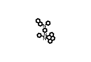 c1ccc(-c2nc3c4cccc5ccc6cccc(c6c54)c3n2-c2ccc(N(c3ccccc3)c3ccc4ccccc4c3)cc2)cc1